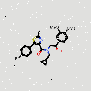 CCc1ccc(-c2sc(C)nc2C(=O)N(CC2CC2)CC(O)c2ccc(OC)c(OC)c2)cc1